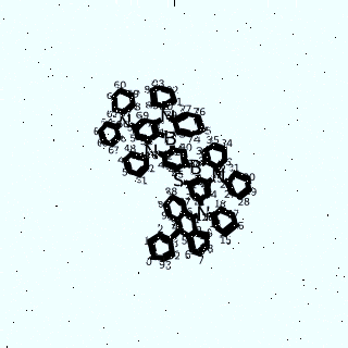 c1ccc(-c2c3ccccc3c(N(c3ccccc3)c3cc4c5c(c3)N(c3ccccc3)c3ccccc3B5c3cc5c(cc3S4)N(c3ccccc3)c3cc(N(c4ccccc4)c4ccccc4)cc4c3B5c3ccccc3N4c3ccccc3)c3ccccc23)cc1